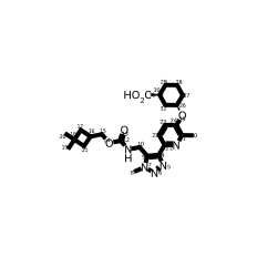 Cc1nc(-c2nnn(C)c2CNC(=O)OCC2CC(C)(C)C2)ccc1O[C@H]1CCC[C@H](C(=O)O)C1